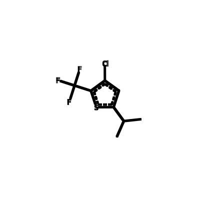 CC(C)c1cc(Cl)c(C(F)(F)F)s1